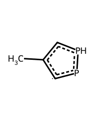 Cc1[c]p[pH]c1